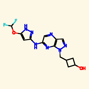 OC1CC(Cn2ncc3ncc(Nc4cc(OC(F)F)[nH]n4)nc32)C1